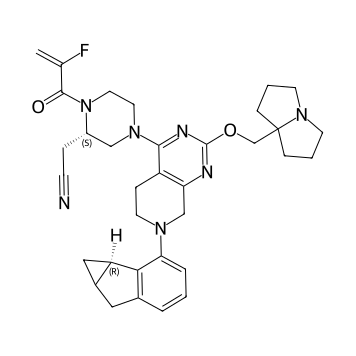 C=C(F)C(=O)N1CCN(c2nc(OCC34CCCN3CCC4)nc3c2CCN(c2cccc4c2[C@@H]2CC2C4)C3)C[C@@H]1CC#N